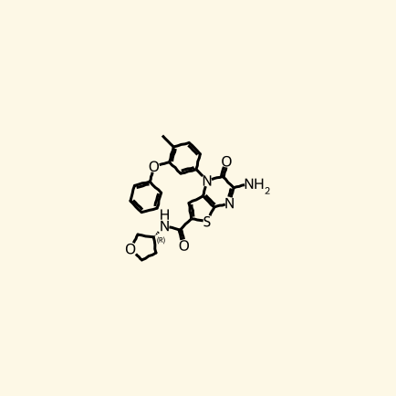 Cc1ccc(-n2c(=O)c(N)nc3sc(C(=O)N[C@@H]4CCOC4)cc32)cc1Oc1ccccc1